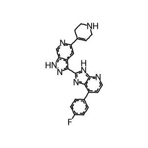 Fc1ccc(-c2ccnc3[nH]c(-c4n[nH]c5cnc(C6=CCNCC6)cc45)nc23)cc1